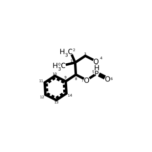 CC1(C)CO[PH](=O)OC1c1ccccc1